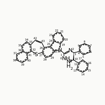 N/C(=N\[C@@H](c1ccccc1)C(N)c1ccccc1)n1c2ccccc2c2c3c(ccc21)Sc1c(ccc2ccccc12)C=C3